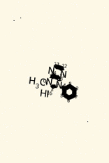 CN1CN(c2ccccc2)c2nccnc21.I